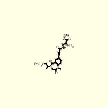 CCOC(=O)CC(C)N1CC(=O)N(C)c2ccc(C#CC(=O)NCC(N)C(=O)OC(C)(C)C)cc2C1=O